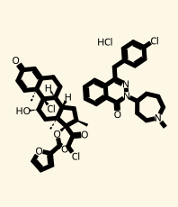 CN1CCCC(n2nc(Cc3ccc(Cl)cc3)c3ccccc3c2=O)CC1.C[C@@H]1C[C@H]2[C@@H]3CCC4=CC(=O)C=C[C@]4(C)[C@@]3(Cl)[C@@H](O)C[C@]2(C)[C@@]1(OC(=O)c1ccco1)C(=O)CCl.Cl